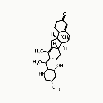 CC1=C2C[C@H]3[C@@H](CCC4=CC(=O)CC[C@@]43C)[C@@H]2CC[C@@H]1[C@H](C)[C@@H]1NC[C@@H](C)C[C@H]1O